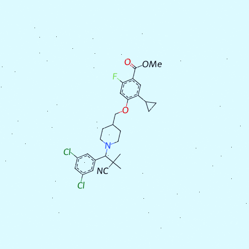 COC(=O)c1cc(C2CC2)c(OCC2CCN(C(c3cc(Cl)cc(Cl)c3)C(C)(C)C#N)CC2)cc1F